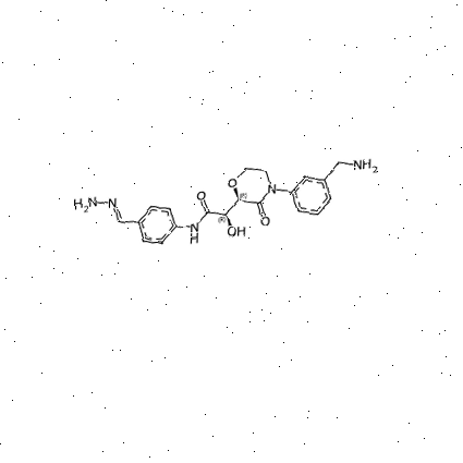 NCc1cccc(N2CCO[C@H]([C@@H](O)C(=O)Nc3ccc(C=NN)cc3)C2=O)c1